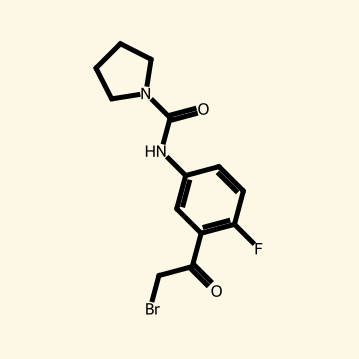 O=C(CBr)c1cc(NC(=O)N2CCCC2)ccc1F